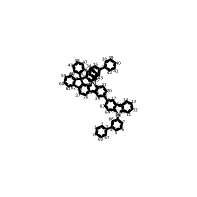 c1ccc(-c2cccc(-n3c4ccccc4c4cc(-c5ccc6c(c5)c5ccc7c(c5n6-c5cccc(-c6ccccc6)c5)C(c5ccccc5)(c5ccccc5)c5ccccc5-7)ccc43)c2)cc1